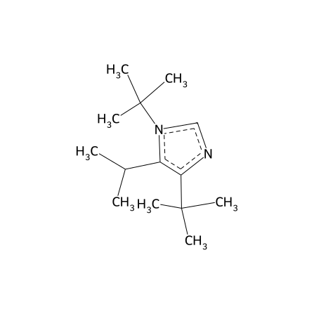 CC(C)c1c(C(C)(C)C)ncn1C(C)(C)C